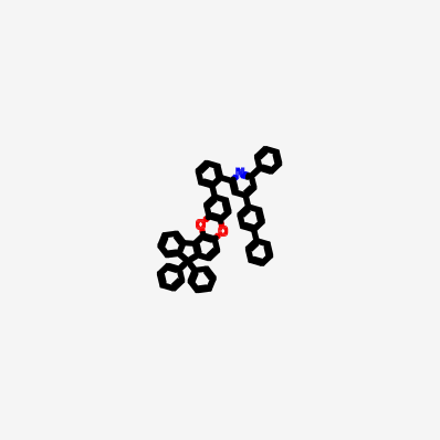 c1ccc(-c2ccc(-c3cc(-c4ccccc4)nc(-c4ccccc4-c4ccc5c(c4)Oc4c(ccc6c4-c4ccccc4C6(c4ccccc4)c4ccccc4)O5)c3)cc2)cc1